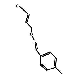 Cc1ccc(/C=N/OC/C=C/Cl)cc1